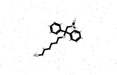 O=[N+]([O-])CC(OCCCCCCO)(c1ccccc1)c1ccccc1